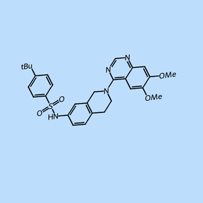 COc1cc2ncnc(N3CCc4ccc(NS(=O)(=O)c5ccc(C(C)(C)C)cc5)cc4C3)c2cc1OC